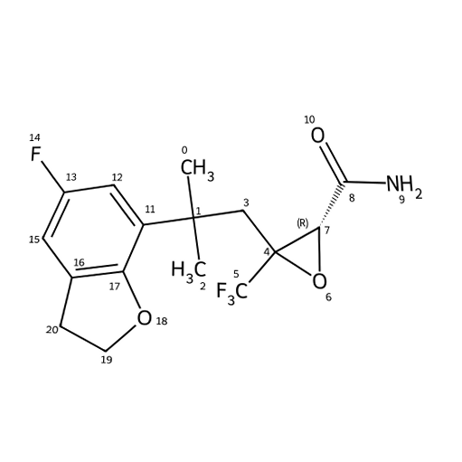 CC(C)(CC1(C(F)(F)F)O[C@H]1C(N)=O)c1cc(F)cc2c1OCC2